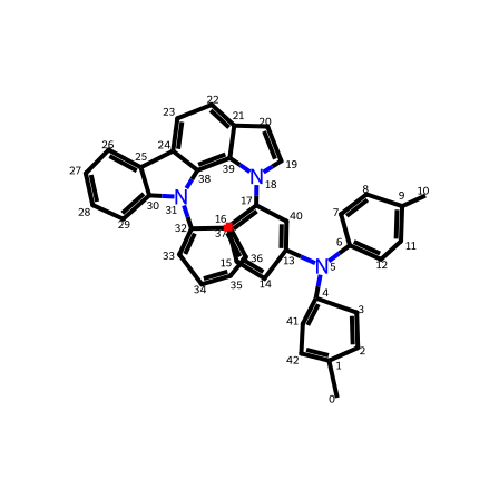 Cc1ccc(N(c2ccc(C)cc2)c2cccc(-n3ccc4ccc5c6ccccc6n(-c6ccccc6)c5c43)c2)cc1